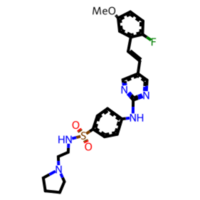 COc1ccc(F)c(/C=C/c2cnc(Nc3ccc(S(=O)(=O)NCCN4CCCC4)cc3)nc2)c1